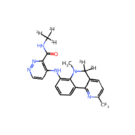 [2H]C([2H])([2H])NC(=O)c1nnccc1Nc1cccc2c1N(C)C([2H])([2H])c1ccc(C(F)(F)F)nc1-2